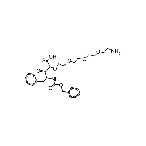 NCCOCCOCCOCCOC(C(=O)O)C(=O)C(Cc1ccccc1)NC(=O)OCc1ccccc1